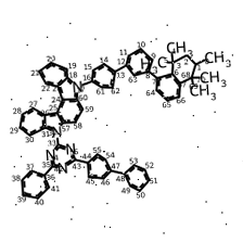 CC1CC(C)(C)c2c(-c3cccc(-c4ccc(-n5c6ccccc6c6c7c8ccccc8n(-c8nc(-c9ccccc9)nc(-c9ccc(-c%10ccccc%10)cc9)n8)c7ccc65)cc4)c3)cccc2C1(C)C